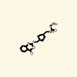 CC(C)(C)OC(=O)NCc1ccc(CSc2nc3ccccc3c(=O)o2)cc1